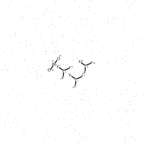 FP(F)F.FP(F)F.FP(F)F.[Cl][Ru][Cl]